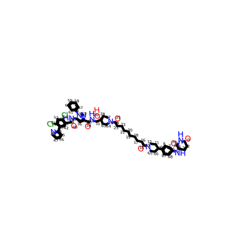 O=C1CCC(Nc2ccc(C3CCN(C(=O)CCCCCCCCC(=O)N4CCC(O)(CNC(=O)c5cc(NC(=O)c6cc(-c7ccccn7)c(Cl)cc6Cl)n(-c6ccccc6)n5)CC4)CC3)cc2)C(=O)N1